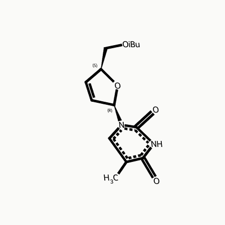 Cc1cn([C@H]2C=C[C@@H](COCC(C)C)O2)c(=O)[nH]c1=O